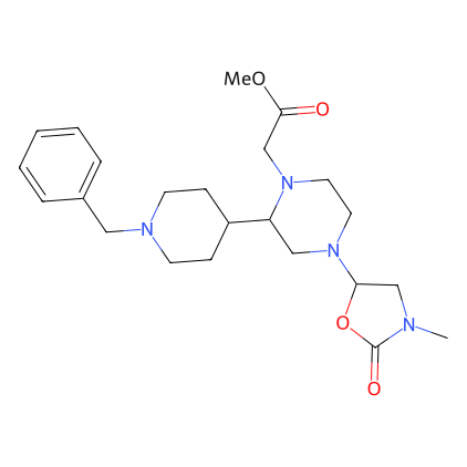 COC(=O)CN1CCN(C2CN(C)C(=O)O2)CC1C1CCN(Cc2ccccc2)CC1